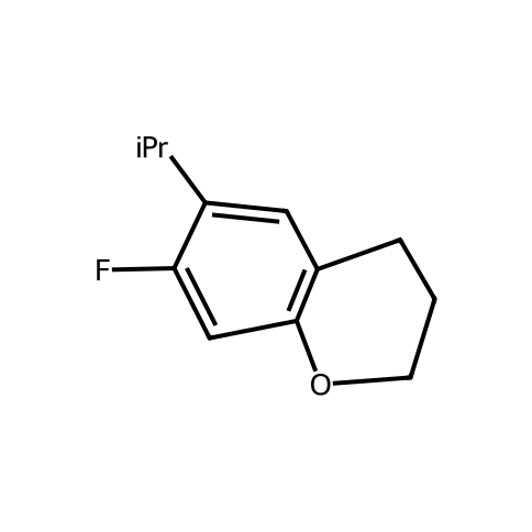 CC(C)c1cc2c(cc1F)OCCC2